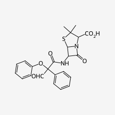 CC1(C)SC2C(NC(=O)C(C=O)(Oc3ccccc3)c3ccccc3)C(=O)N2C1C(=O)O